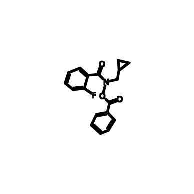 O=C(ON(CC1CC1)C(=O)c1ccccc1F)c1ccccc1